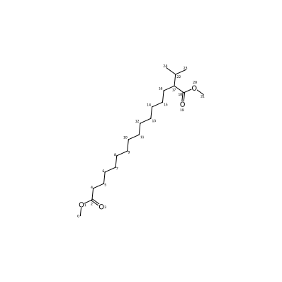 COC(=O)CCCCCCCCCCCCCC(C(=O)OC)C(C)C